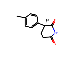 CC[C@@]1(c2ccc(C)cc2)CCC(=O)NC1=O